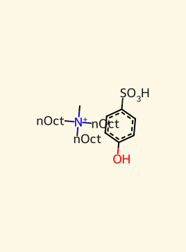 CCCCCCCC[N+](C)(CCCCCCCC)CCCCCCCC.O=S(=O)(O)c1ccc(O)cc1